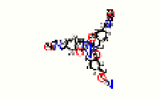 N#COCC1CCC(Cn2c(=O)n(CC3CCC(CN=C=O)CC3)c(=O)n(CC3CCC(CN=C=O)CC3)c2=O)CC1